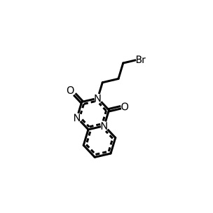 O=c1nc2ccccn2c(=O)n1CCCBr